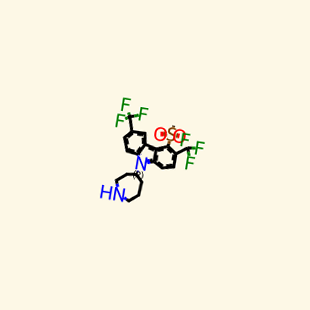 CS(=O)(=O)c1c(C(F)(F)F)ccc2c1c1cc(C(F)(F)F)ccc1n2[C@@H]1CCCNCC1